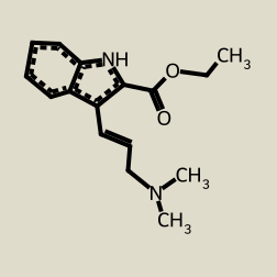 CCOC(=O)c1[nH]c2ccccc2c1/C=C/CN(C)C